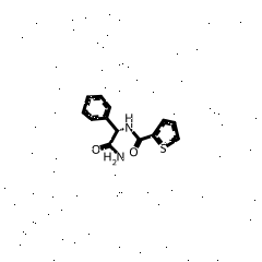 NC(=O)[C@@H](NC(=O)c1cccs1)c1ccccc1